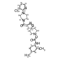 Cc1ccc(NC(=O)ON2CCC3(CC2)CC(C(=O)N2CCN(c4ncccc4Cl)CC2)=NO3)c(C)c1